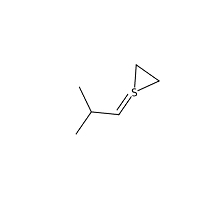 CC(C)C=S1CC1